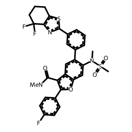 CNC(=O)c1c(-c2ccc(F)cc2)oc2cc(N(C)S(C)(=O)=O)c(-c3cccc(-c4nc5c(s4)CCCC5(F)F)c3)cc12